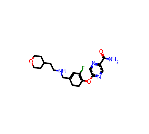 NC(=O)c1cnc(OC2=C(F)C=C(CNCCC3CCOCC3)CC2)cn1